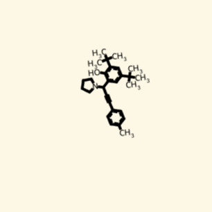 Cc1ccc(C#CC(c2cc(C(C)(C)C)cc(C(C)(C)C)c2O)N2CCCC2)cc1